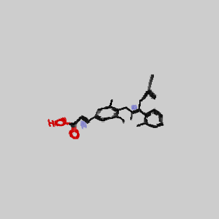 C/C(Cc1c(C)cc(/C=C/C(=O)O)cc1C)=C(/CC(C)C)c1ccccc1C